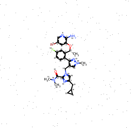 C[C@@H](Oc1cc(Br)cnc1N)c1cc(F)ccc1-c1nn(C)cc1Cn1cc(CC2CC2)nc1C(=O)N(C)C